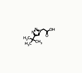 CC(C)(C)c1cn(CC(=O)O)nn1